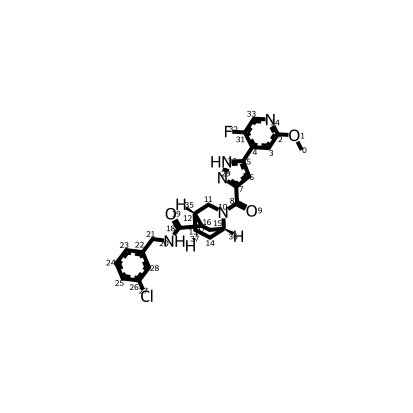 COc1cc(-c2cc(C(=O)N3C[C@H]4CC[C@@H]3C[C@H]4C(=O)NCc3cccc(Cl)c3)n[nH]2)c(F)cn1